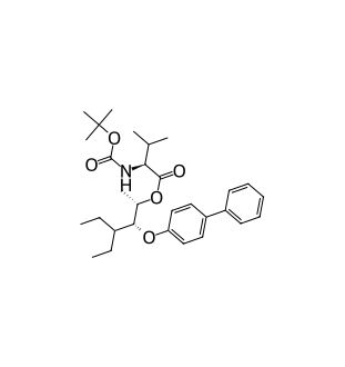 CCC(CC)[C@@H](Oc1ccc(-c2ccccc2)cc1)[C@H](C)OC(=O)[C@@H](NC(=O)OC(C)(C)C)C(C)C